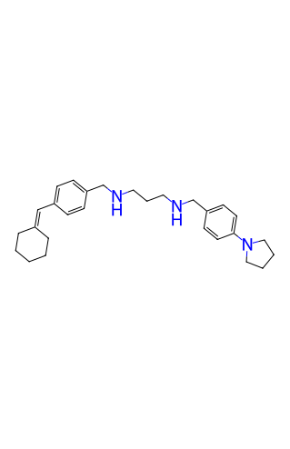 C(=C1CCCCC1)c1ccc(CNCCCNCc2ccc(N3CCCC3)cc2)cc1